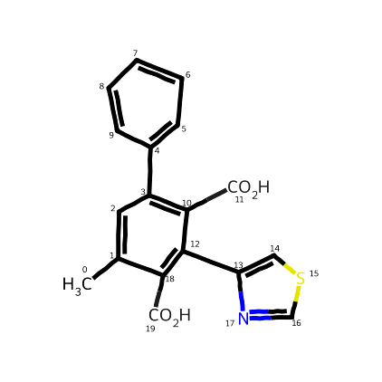 Cc1cc(-c2ccccc2)c(C(=O)O)c(-c2cscn2)c1C(=O)O